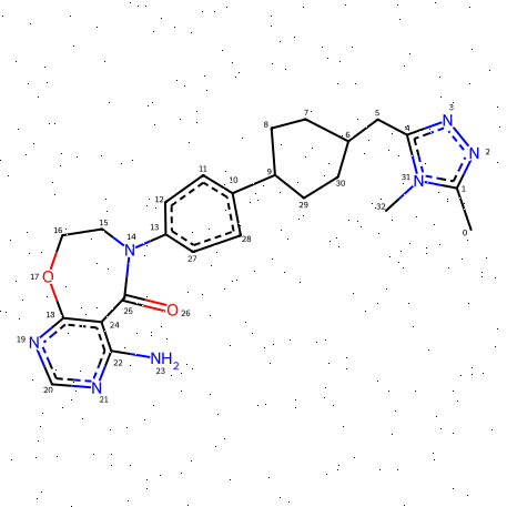 Cc1nnc(CC2CCC(c3ccc(N4CCOc5ncnc(N)c5C4=O)cc3)CC2)n1C